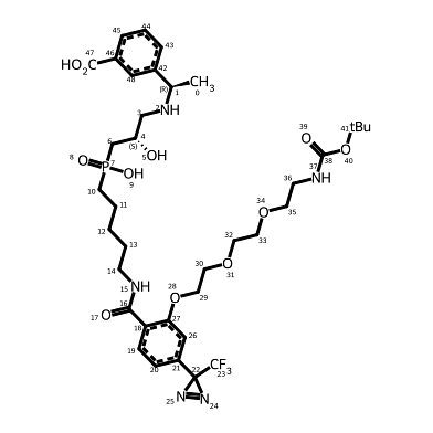 C[C@@H](NC[C@H](O)CP(=O)(O)CCCCCNC(=O)c1ccc(C2(C(F)(F)F)N=N2)cc1OCCOCCOCCNC(=O)OC(C)(C)C)c1cccc(C(=O)O)c1